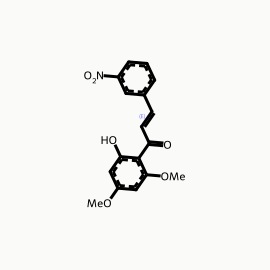 COc1cc(O)c(C(=O)/C=C/c2cccc([N+](=O)[O-])c2)c(OC)c1